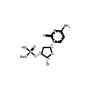 CC[C@H]1O[C@@H](n2ccc(N)nc2=O)C[C@H]1OP(=O)(O)OC